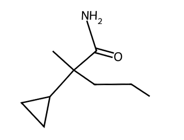 CCCC(C)(C(N)=O)C1CC1